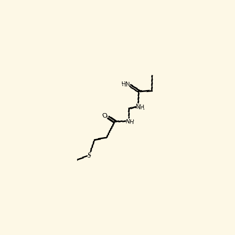 CCC(=N)NCNC(=O)CCSC